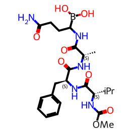 COC(=O)N[C@H](C(=O)N[C@@H](Cc1ccccc1)C(=O)N[C@@H](C)C(=O)NC(CCC(N)=O)B(O)O)C(C)C